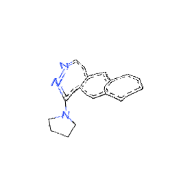 c1ccc2cc3c(N4CCCC4)nncc3cc2c1